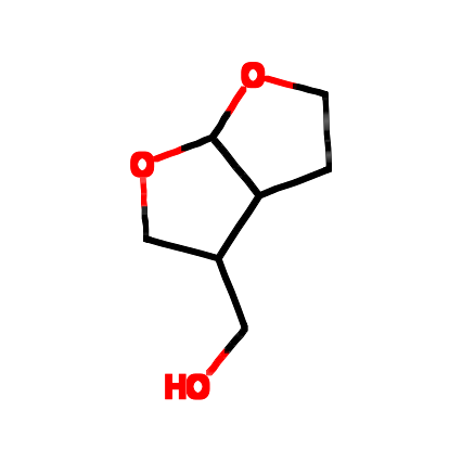 OCC1COC2OCCC12